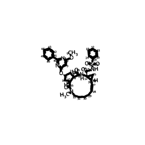 COc1cc(O[C@@H]2C[C@H]3C(=O)N[C@]4(C(=O)NS(=O)(=O)c5ccccc5)C[C@H]4/C=C\CCCCN(C)C(=O)[C@@H]3C2)nc(-c2ccccc2)n1